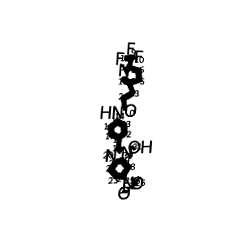 O=C(/C=C/c1ccc(C(F)(F)F)nc1)Nc1ccc(-c2nc3ccc([N+](=O)[O-])cc3n2O)cc1